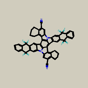 N#Cc1cc2c(c3c1CCCC3)c1c3c4cc5c(cc4n4c6cc(C#N)c7c(c6c(c6c8cc9c(cc8n2c61)C(F)(F)c1ccccc1C9(F)F)c34)CCCC7)C(F)(F)c1ccccc1C5(F)F